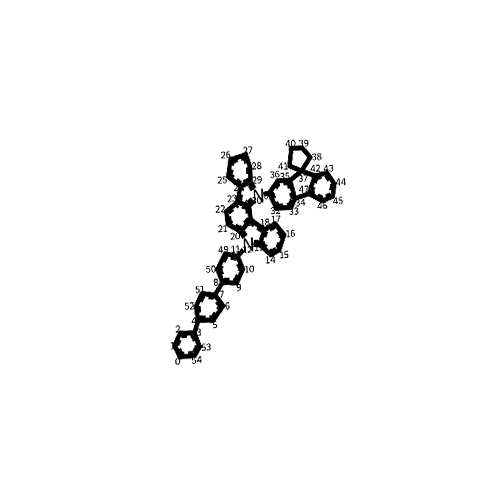 c1ccc(-c2ccc(-c3ccc(-n4c5ccccc5c5c4ccc4c6ccccc6n(-c6ccc7c(c6)C6(CCCC6)c6ccccc6-7)c45)cc3)cc2)cc1